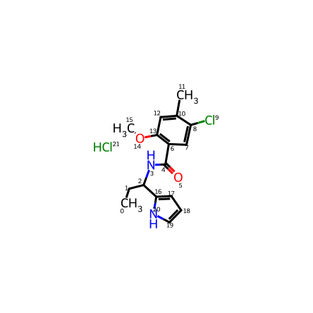 CCC(NC(=O)c1cc(Cl)c(C)cc1OC)c1ccc[nH]1.Cl